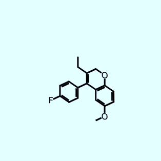 CCC1=C(c2ccc(F)cc2)c2cc(OC)ccc2OC1